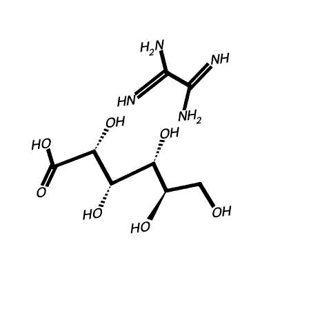 N=C(N)C(=N)N.O=C(O)[C@H](O)[C@@H](O)[C@H](O)[C@H](O)CO